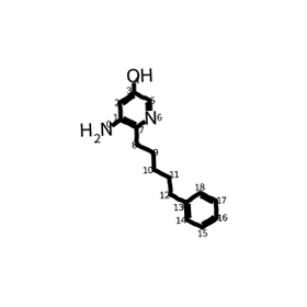 Nc1cc(O)cnc1CCCCCc1ccccc1